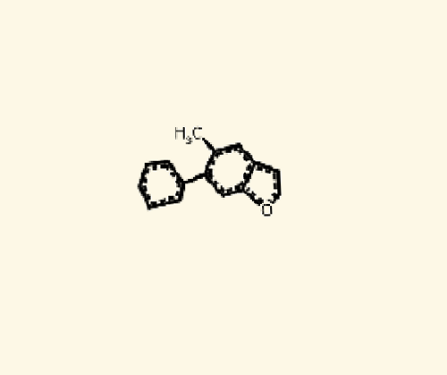 Cc1cc2ccoc2cc1-c1ccccc1